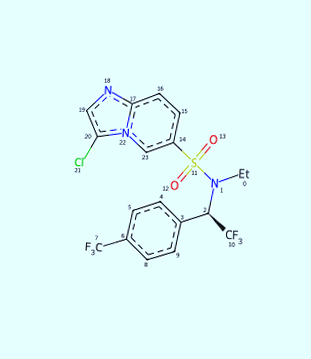 CCN([C@H](c1ccc(C(F)(F)F)cc1)C(F)(F)F)S(=O)(=O)c1ccc2ncc(Cl)n2c1